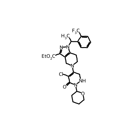 CCOC(=O)c1nn(C(C)c2ccccc2C(F)(F)F)c2c1CN(C1=C(Cl)C(=O)N(C3CCCCO3)NC1)CC2